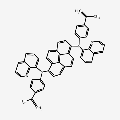 C=C(C)c1ccc(N(c2ccc3ccc4c(N(c5ccc(C(=C)C)cc5)c5cccc6cccnc56)ccc5ccc2c3c54)c2cccc3cccnc23)cc1